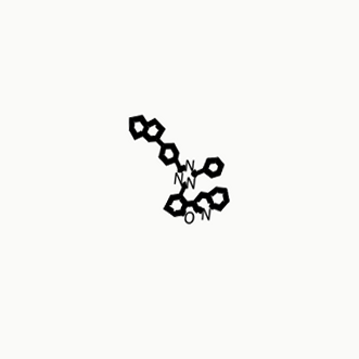 c1ccc(-c2nc(-c3ccc(-c4ccc5ccccc5c4)cc3)nc(-c3cccc4oc5nc6ccccc6cc5c34)n2)cc1